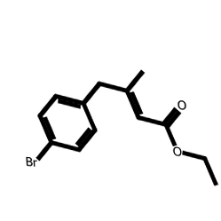 CCOC(=O)C=C(C)Cc1ccc(Br)cc1